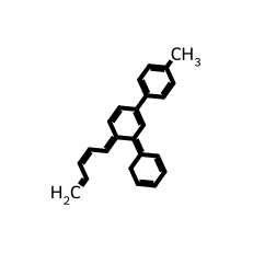 C=C\C=C/C=c1\ccc(-c2ccc(C)cc2)c\c1=C1/C=CC=CC1